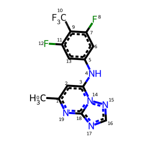 Cc1cc(Nc2cc(F)c(C(F)(F)F)c(F)c2)n2ncnc2n1